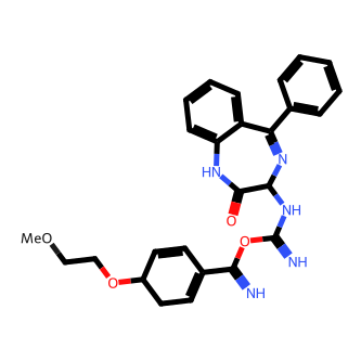 COCCOC1C=CC(C(=N)OC(=N)NC2N=C(c3ccccc3)c3ccccc3NC2=O)=CC1